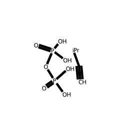 C#CC(C)C.O=P(O)(O)OP(=O)(O)O